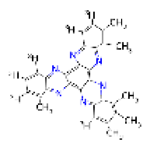 [3H]c1c([3H])c(C)c2nc3c(nc2c1[3H])c1nc2c([3H])c([3H])c(C)c(C)c2nc1c1nc2c(C)c(C)c(C)c([3H])c2nc31